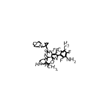 Cc1c(F)c(N)c(F)c(-c2nc3c4c(nc(OCC5(CN6CCOCC6)CC5)nc4c2F)N2CCNC[C@H]2[C@H](C)O3)c1C(F)(F)F